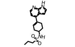 CCCS(=O)(=O)NC1CC=C(c2ccnc3[nH]ccc23)CC1